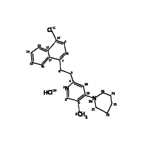 Cc1cnc(CCc2ccc(Cl)c3ccccc23)cc1N1CCCCC1.Cl